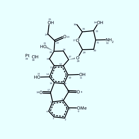 COc1cccc2c1C(=O)c1c(O)c3c(c(O)c1C2=O)C[C@@](O)(C(=O)CO)C[C@@H]3OC1CC(N)C(O)C(C)O1.Cl.[Pt]